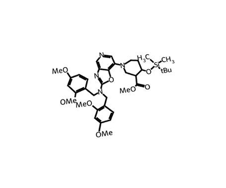 COC(=O)C1CN(c2cncc3nc(N(Cc4ccc(OC)cc4OC)Cc4ccc(OC)cc4OC)oc23)CCC1O[Si](C)(C)C(C)(C)C